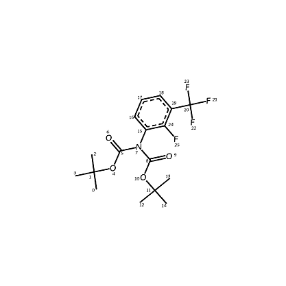 CC(C)(C)OC(=O)N(C(=O)OC(C)(C)C)c1cccc(C(F)(F)F)c1F